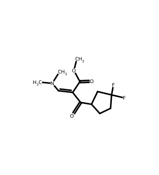 COC(=O)C(=CN(C)C)C(=O)C1CCC(F)(F)C1